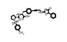 Cc1ccc(S(=O)(=O)N2CCC[C@H]2C(=O)N[C@@H](Cc2ccc(C#CCNC3=NC(=O)C(c4ccccc4)O3)cc2)C(=O)O)cc1